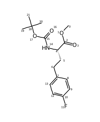 COC(=O)[C@H](CCc1ccc(F)cc1)NC(=O)OC(C)(C)C